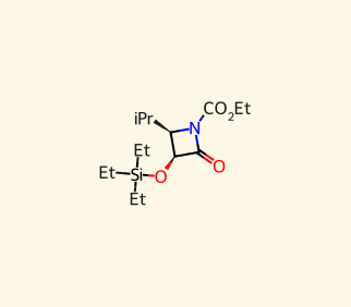 CCOC(=O)N1C(=O)[C@@H](O[Si](CC)(CC)CC)[C@H]1C(C)C